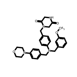 COc1cccc(CN(Cc2ccc(N3CCOCC3)cc2)c2ccc(CN3CC(=O)NCC3=O)cc2)c1